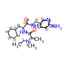 CCN(C)C(C)C(=O)N[C@@H](CC1CCCCC1)C(=O)NCc1ccc(N)nc1